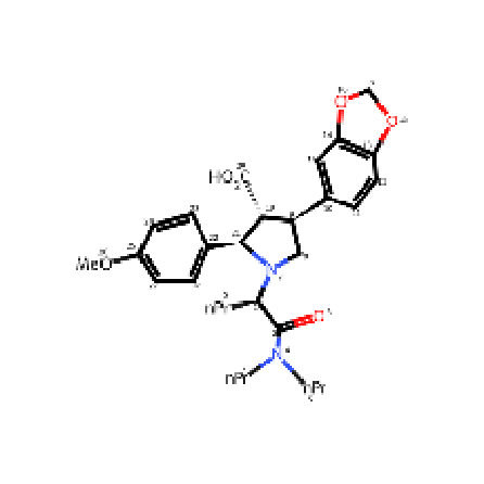 CCC[C@H](C(=O)N(CCC)CCC)N1C[C@H](c2ccc3c(c2)OCO3)[C@@H](C(=O)O)[C@@H]1c1ccc(OC)cc1